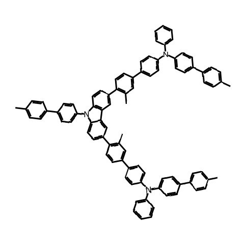 Cc1ccc(-c2ccc(N(c3ccccc3)c3ccc(-c4ccc(-c5ccc6c(c5)c5cc(-c7ccc(-c8ccc(N(c9ccccc9)c9ccc(-c%10ccc(C)cc%10)cc9)cc8)cc7C)ccc5n6-c5ccc(-c6ccc(C)cc6)cc5)c(C)c4)cc3)cc2)cc1